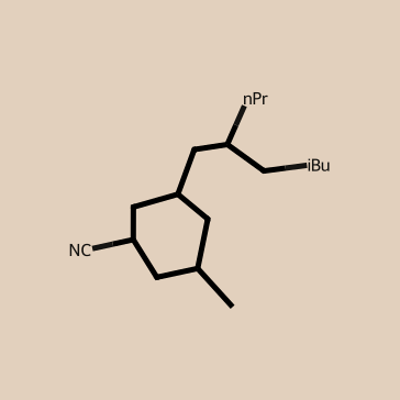 CCCC(CC(C)CC)CC1CC(C)CC(C#N)C1